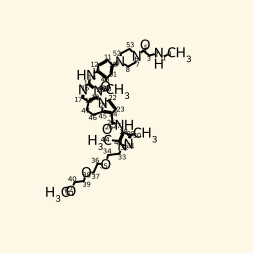 CCNCC(=O)N1CCN(c2ccc(Nc3ncc4c(n3)-n3ccc(C(=O)Nc5c(C)nn(CCOCCOCCOC)c5C)c3CC4)c(OC)c2)CC1